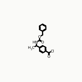 CC(NC(=O)OCc1ccccc1)c1ccc(C(=O)Cl)cc1